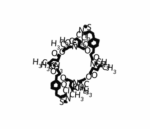 CC(C)CC1C(=O)OC(Cc2ccc(Cc3scnc3Cl)cc2)C(=O)N(C)C(CC(C)C)C(=O)OC(C)C(=O)N(C)C(CC(C)C)C(=O)OC(Cc2ccc(Cc3scnc3Cl)cc2)C(=O)N(C)C(CC(C)C)C(=O)OC(C)C(=O)N1C